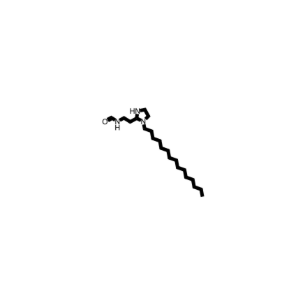 CCCCCCCCCCCCCCCN1CCNC1CCNC=O